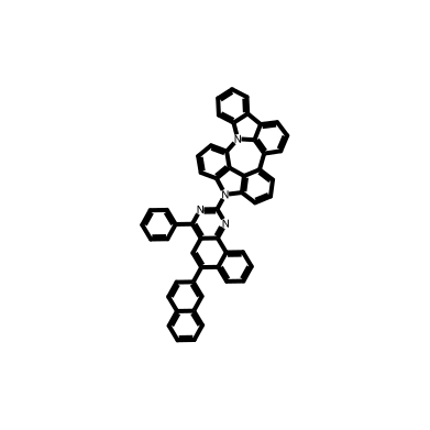 c1ccc(-c2nc(-n3c4cccc5c6cccc7c8ccccc8n(c8cccc3c8c54)c67)nc3c2cc(-c2ccc4ccccc4c2)c2ccccc23)cc1